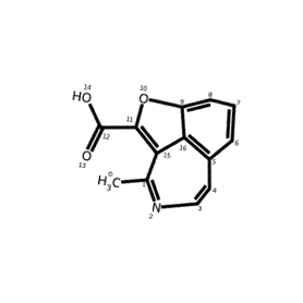 CC1=NC=Cc2cccc3oc(C(=O)O)c1c23